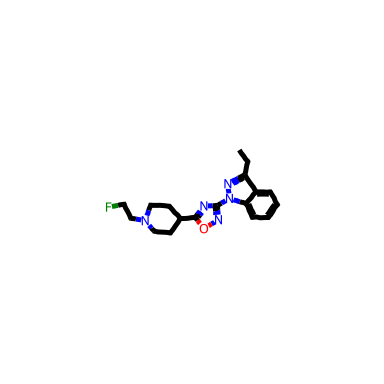 CCc1nn(-c2noc(C3CCN(CCF)CC3)n2)c2ccccc12